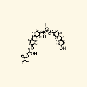 C=C(C)C(=O)OCC(O)COc1ccc(Cc2ccc(OBC(O)COc3ccc(Cc4ccc(O)cc4)cc3)cc2)cc1